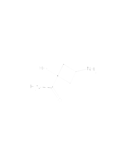 NC(=O)C1(O)CC(N)C1